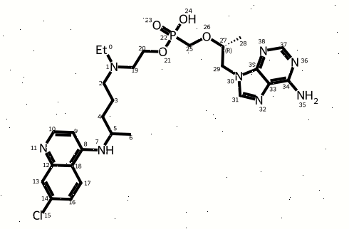 CCN(CCCC(C)Nc1ccnc2cc(Cl)ccc12)CCOP(=O)(O)CO[C@H](C)Cn1cnc2c(N)ncnc21